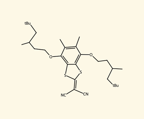 Cc1c(C)c(OCCC(C)CC(C)(C)C)c2c(c1OCCC(C)CC(C)(C)C)SC(=C(C#N)C#N)S2